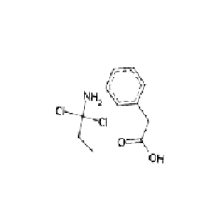 CCC(N)(Cl)Cl.O=C(O)Cc1ccccc1